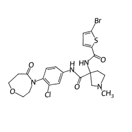 CN1CCC(NC(=O)c2ccc(Br)s2)(C(=O)Nc2ccc(N3CCOCCC3=O)c(Cl)c2)C1